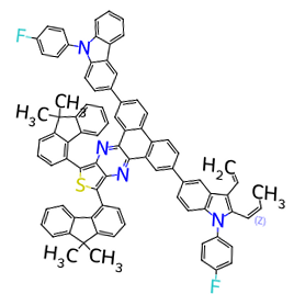 C=Cc1c(/C=C\C)n(-c2ccc(F)cc2)c2ccc(-c3ccc4c5ccc(-c6ccc7c(c6)c6ccccc6n7-c6ccc(F)cc6)cc5c5nc6c(-c7cccc8c7-c7ccccc7C8(C)C)sc(-c7cccc8c7-c7ccccc7C8(C)C)c6nc5c4c3)cc12